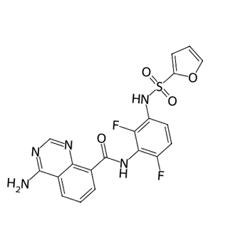 Nc1ncnc2c(C(=O)Nc3c(F)ccc(NS(=O)(=O)c4ccco4)c3F)cccc12